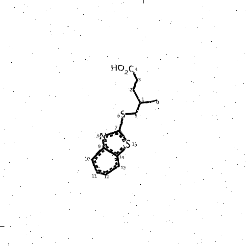 CC(CCC(=O)O)CSc1nc2ccccc2s1